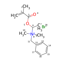 C=C(C)C(=O)OC(C)[N+](C)(C)Cc1ccccc1.[Br-]